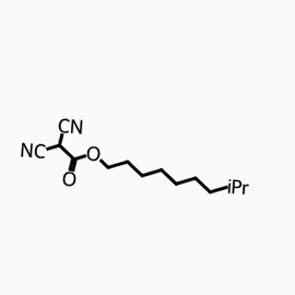 CC(C)CCCCCCCOC(=O)C(C#N)C#N